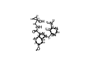 COc1cnc2c(C(=O)NCC3(O)CC3)nn(Cc3ncnc(N(C)C)c3C)c2c1